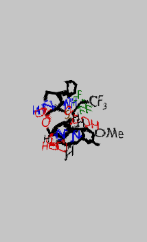 COc1c(C)cc2c(c1O)[C@@H]1C3[C@@H]4SC[C@]5(NCCc6c5[nH]c5ccccc65)C(=O)OC[C@@H](c5c6c(c(C)c(OC(=O)C(F)(F)C(F)(F)C(F)(F)F)c54)OCO6)N3[C@@H](O)[C@@H](C2)N1C